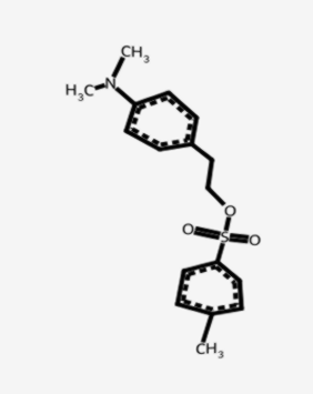 Cc1ccc(S(=O)(=O)OCCc2ccc(N(C)C)cc2)cc1